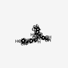 O=C(O)c1c(F)ccc2c1OB(O)C(NC(=O)C(NC(=O)N1CCN(C3CCN(C(=O)Nc4ccc(O)c(O)c4Cl)CC3)C1=O)c1ccc(P(=O)(O)O)cc1)C2